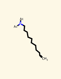 C=CCCCCCCCCCN(C(C)=O)C(C)=O